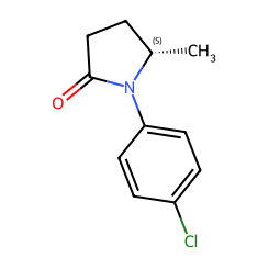 C[C@H]1CCC(=O)N1c1ccc(Cl)cc1